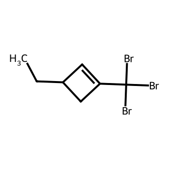 CCC1C=C(C(Br)(Br)Br)C1